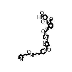 O=C(/C=C/c1cccnc1)NCCCCC1CCN(C(=O)c2ccc(N3CCN(C(=O)COc4cccc5c4CN(C4CCC(=O)NC4=O)C5=O)CC3)nc2)CC1